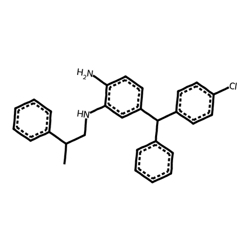 CC(CNc1cc(C(c2ccccc2)c2ccc(Cl)cc2)ccc1N)c1ccccc1